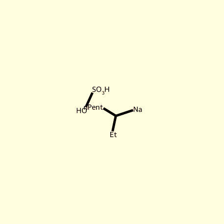 CCCCC[CH]([Na])CC.O=S(=O)(O)O